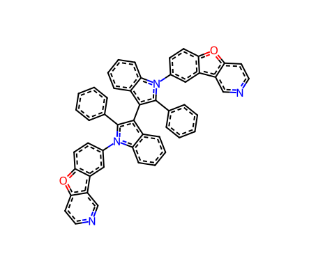 c1ccc(-c2c(-c3c(-c4ccccc4)n(-c4ccc5oc6ccncc6c5c4)c4ccccc34)c3ccccc3n2-c2ccc3oc4ccncc4c3c2)cc1